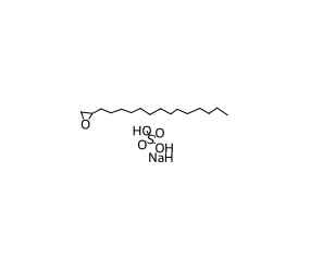 CCCCCCCCCCCCCCC1CO1.O=S(=O)(O)O.[NaH]